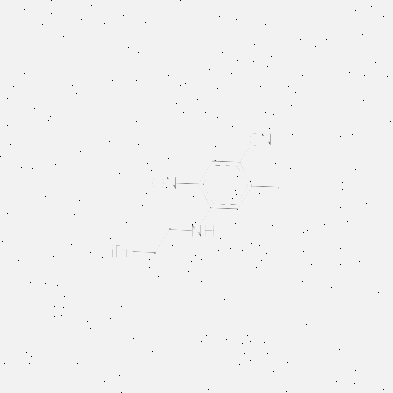 Cc1cc(NCCC(C)C)c(N=O)cc1C#N